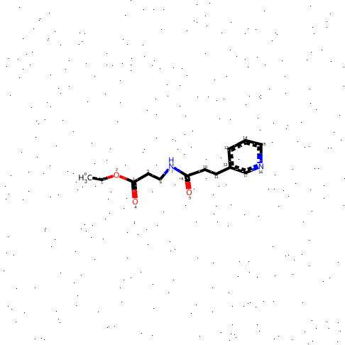 CCOC(=O)CCNC(=O)CCc1cccnc1